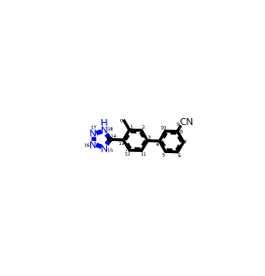 Cc1cc(-c2cccc(C#N)c2)c[c]c1-c1nnn[nH]1